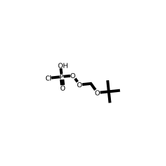 CC(C)(C)OCOOP(=O)(O)Cl